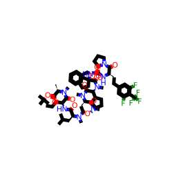 CC[C@H](C)[C@H](NC(=O)[C@H](CC(C)C)N(C)C(=O)C[C@@H](C(=O)N(C)C)N(C)C(=O)[C@H](C1CCCC1)N(C)C(=O)C1(NC(=O)[C@@H]2CCCN2C(=O)[C@H](CCc2cc(F)c(C(F)(F)F)c(F)c2)NC(=O)OCc2ccccc2)CCCC1)C(=O)N(C)[C@@H](C)C(=O)OC(C)(C)C